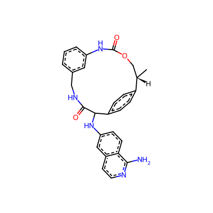 C[C@H]1COC(=O)Nc2cccc(c2)CNC(=O)C(Nc2ccc3c(N)nccc3c2)c2ccc1cc2